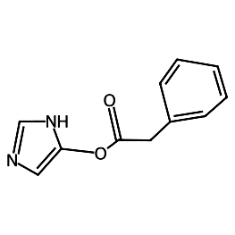 O=C(Cc1ccccc1)Oc1cnc[nH]1